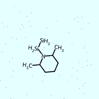 CC1CCCC(C)N1[SiH2][SiH3]